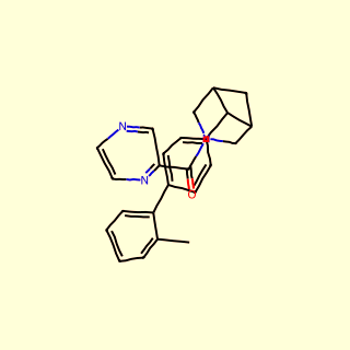 Cc1ccccc1-c1ccc(C2C3CC2CN(C(=O)c2cnccn2)C3)cc1